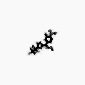 CO/N=C(\c1ccc([N+](=O)[O-])c(C)c1)c1nc(C(F)(F)C(F)(F)F)cs1